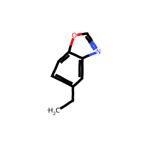 [CH2]Cc1ccc2ocnc2c1